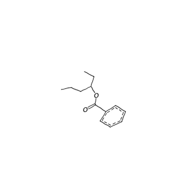 CCCC(CC)OC(=O)c1ccccc1